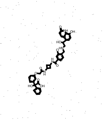 O=C(COc1cccc(C(O)(C(=O)O)c2ccccc2)c1)NC1CC(NC(=O)c2ccc(CNCC(O)c3ccc(O)c4[nH]c(=O)ccc34)c(Cl)c2)C1